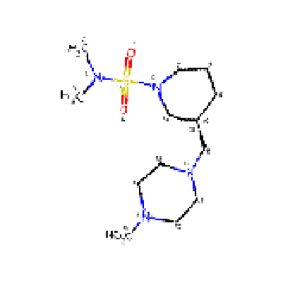 CN(C)S(=O)(=O)N1CCC[C@@H](CN2CCN(C(=O)O)CC2)C1